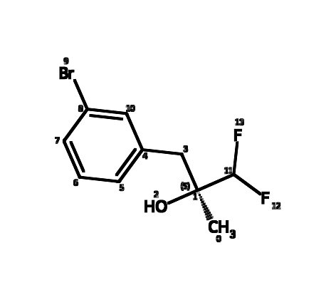 C[C@](O)(Cc1cccc(Br)c1)C(F)F